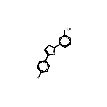 CC(C)c1ccc(C2=CCC(c3cccc(C(=O)O)c3)O2)cc1